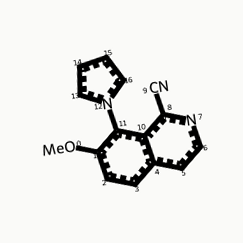 COc1ccc2ccnc(C#N)c2c1-n1cccc1